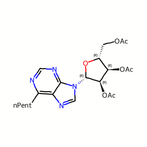 CCCCCc1ncnc2c1ncn2[C@@H]1O[C@H](COC(C)=O)[C@@H](OC(C)=O)[C@H]1OC(C)=O